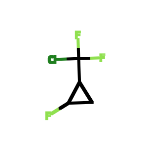 FC1C[C]1C(F)(F)Cl